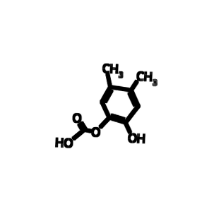 Cc1cc(O)c(OC(=O)O)cc1C